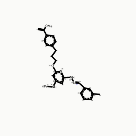 C=C(OC)c1ccc(CCCOc2cc(NCCC)cc(N/N=C/c3cccc(C)c3)n2)cc1